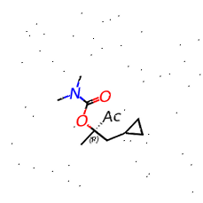 CC(=O)[C@@](C)(CC1CC1)OC(=O)N(C)C